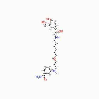 CN(CCCOCCCCCCNCC(O)c1ccc(O)c(CO)c1)c1cccc(C(N)=O)c1